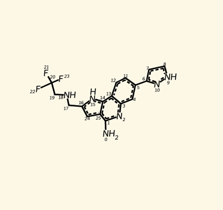 Nc1nc2cc(-c3cc[nH]n3)ccc2c2[nH]c(CNCC(F)(F)F)cc12